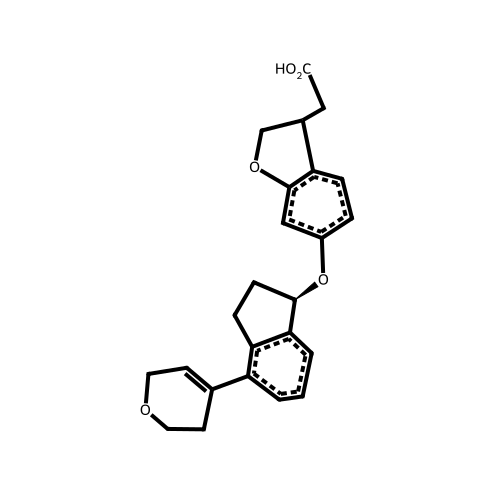 O=C(O)CC1COc2cc(O[C@@H]3CCc4c(C5=CCOCC5)cccc43)ccc21